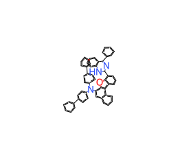 c1ccc(C2=NC(c3cccc4c3oc3c(N(c5ccc(-c6ccccc6)cc5)c5ccc(-c6ccccc6)cc5)cc5ccccc5c34)Nc3ccccc32)cc1